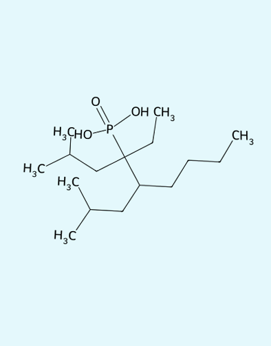 CCCCC(CC(C)C)C(CC)(CC(C)C)P(=O)(O)O